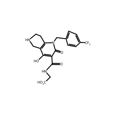 O=C(O)CNC(=O)c1c(O)c2c(n(Cc3ccc(C(F)(F)F)cc3)c1=O)CCNC2